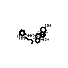 CC(CCc1nc2cccc(F)c2[nH]1)[C@H]1CC[C@H]2[C@@H]3[C@H](O)C[C@@H]4C[C@H](O)CC[C@]4(C)[C@H]3C[C@H](O)[C@]12C